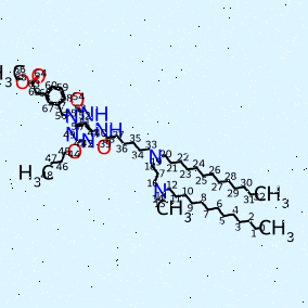 CCCCCCCCCCCCCN(CC)CCCN(CCCCCCCCCCCCC)CCCCCC(=O)Nc1nc(OCCCC)nc2c1[nH]c(=O)n2Cc1cccc(CC(=O)OC)c1